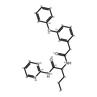 CCCC(NC(=O)Cc1cccc(Oc2ccccc2)c1)C(=O)Nc1ncccn1